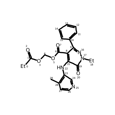 CCC(=O)OCOC(=O)c1c(-c2ccccc2)nn(CC)c(=O)c1Nc1cnccc1C